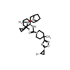 CN(CC1CC1)C1CC2CCC(C1)N2[C@H]1CCCC(F)(F)[C@@H]1NC(=O)N1CCC(C)(c2noc([C@@H]3C[C@@H]3F)n2)CC1